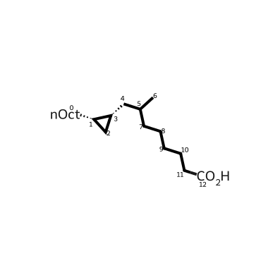 CCCCCCCC[C@H]1C[C@H]1CC(C)CCCCCC(=O)O